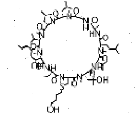 C/C=C/C[C@@H](C)[C@@H](O)[C@H]1C(=O)N[C@H](CC)C(=O)N(C)[C@H](CSCCCCO)C(=O)N(C)[C@@H](CC(C)(C)O)C(=O)N[C@H](C(C)C)C(=O)N(C)[C@H](CCC(C)C)C(=O)N[C@H](C)C(=O)N[C@@H](C)C(=O)N(C)[C@@H](CC(C)C)C(=O)N(C)[C@H](CC(C)C)C(=O)N(C)[C@H](C(C)C)C(=O)N1C